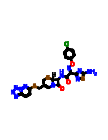 Nc1nc(C(=NOc2ccc(Cl)cc2)C(=O)NC2C(=O)N3C=C(CSc4ccc5nnnn5n4)CS[C@@H]23)ns1